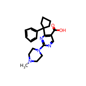 CN1CCN(c2ncc(C(=O)O)c(C3(c4ccccc4)CCCC3)n2)CC1